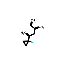 C=CC(=C)CC(=C)C1(F)CC1